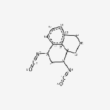 O=C=NC1CC(N=C=O)C2CCCc3cccc1c32